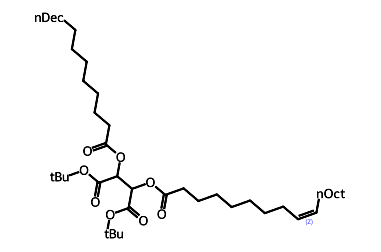 CCCCCCCC/C=C\CCCCCCCC(=O)OC(C(=O)OC(C)(C)C)C(OC(=O)CCCCCCCCCCCCCCCCC)C(=O)OC(C)(C)C